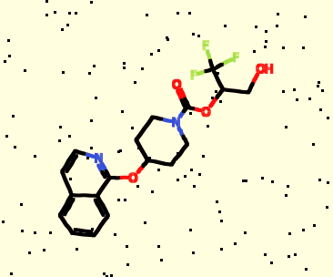 O=C(OC(CO)C(F)(F)F)N1CCC(Oc2nccc3ccccc23)CC1